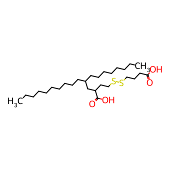 CCCCCCCCCCC(CCCCCCCC)CC(CCSSCCCC(=O)O)C(=O)O